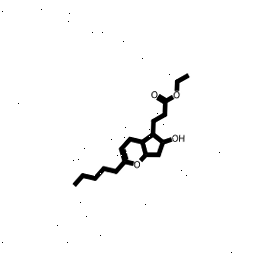 CCCCCC1=CCC2C(CC(O)C2CCC(=O)OCC)O1